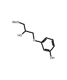 COCC(O)COc1cccc(O)c1